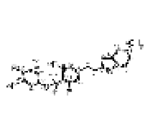 Cc1ccc2nc(CCc3cc(F)c(C(F)(F)Oc4cc(F)c(F)c(F)c4)c(F)c3)sc2c1